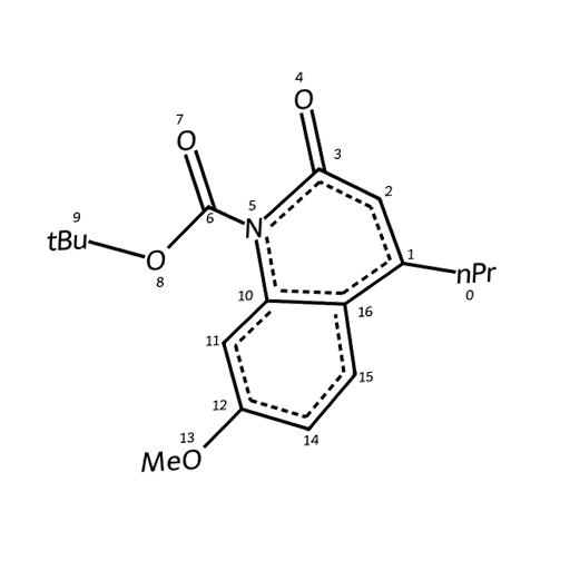 CCCc1cc(=O)n(C(=O)OC(C)(C)C)c2cc(OC)ccc12